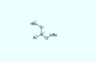 CCCC[O][Al]([O]CCCC)[C](C)=O